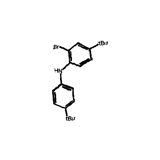 CC(C)(C)c1ccc(Nc2ccc(C(C)(C)C)cc2Br)cc1